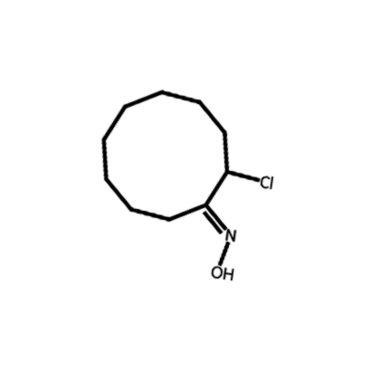 ON=C1CCCCCCCCC1Cl